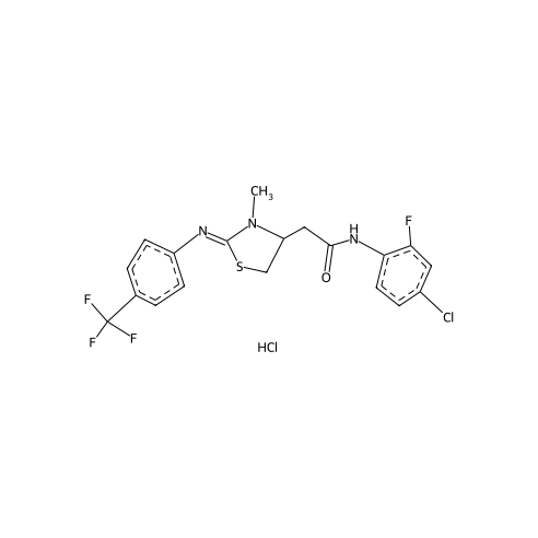 CN1C(=Nc2ccc(C(F)(F)F)cc2)SCC1CC(=O)Nc1ccc(Cl)cc1F.Cl